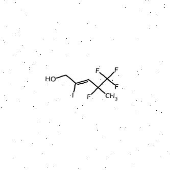 CC(F)(/C=C(\I)CO)C(F)(F)F